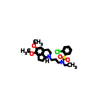 CCN(CCCN1CCc2cc(OC)c(OC)c3c2[C@H]1CC3)S(=O)(=O)c1ccccc1Cl